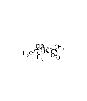 C=CCC(C)(C)C(=O)Oc1ccc2c(C)cc(=O)oc2c1